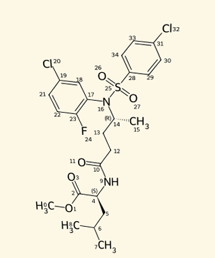 COC(=O)[C@H](CC(C)C)NC(=O)CC[C@@H](C)N(c1cc(Cl)ccc1F)S(=O)(=O)c1ccc(Cl)cc1